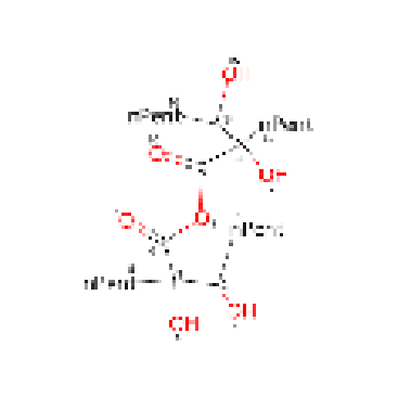 CCCCCC(O)C(O)(CCCCC)C(=O)OC(=O)C(O)(CCCCC)C(O)CCCCC